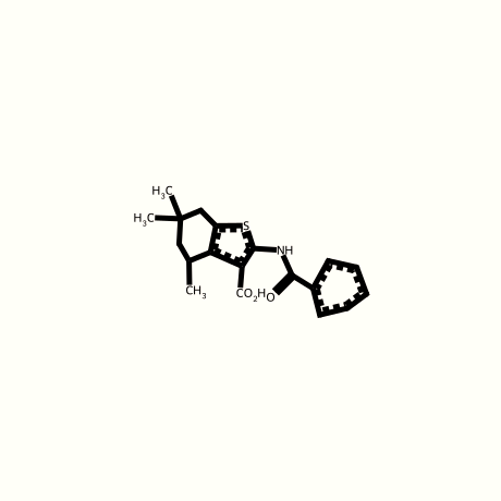 CC1CC(C)(C)Cc2sc(NC(=O)c3ccccc3)c(C(=O)O)c21